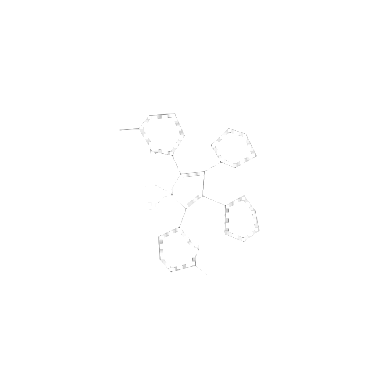 CC[Si]1(CC)C(c2cccc(C)n2)=C(c2ccccc2)C(c2ccccc2)=C1c1cccc(C)n1